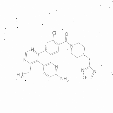 CCc1ncnc(-c2ccc(C(=O)N3CCN(Cc4ncon4)CC3)c(Cl)c2)c1-c1ccc(N)nc1